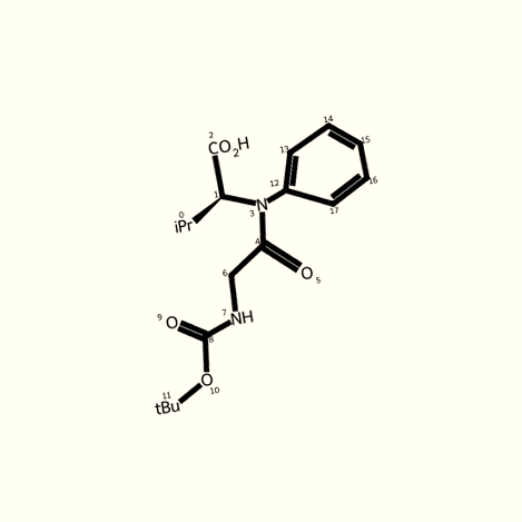 CC(C)[C@@H](C(=O)O)N(C(=O)CNC(=O)OC(C)(C)C)c1ccccc1